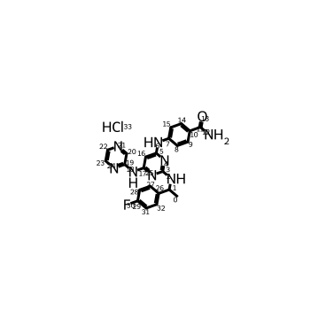 CC(Nc1nc(Nc2ccc(C(N)=O)cc2)cc(Nc2cnccn2)n1)c1ccc(F)cc1.Cl